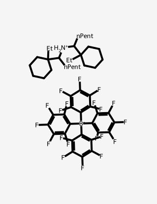 CCCCCC([NH2+]C(CCCCC)C1(CC)CCCCC1)C1(CC)CCCCC1.Fc1c(F)c(F)c([B-](c2c(F)c(F)c(F)c(F)c2F)(c2c(F)c(F)c(F)c(F)c2F)c2c(F)c(F)c(F)c(F)c2F)c(F)c1F